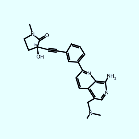 CN(C)Cc1cnc(N)c2nc(-c3cccc(C#C[C@]4(O)CCN(C)C4=O)c3)ccc12